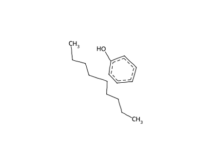 CCCCCCCCC.Oc1ccccc1